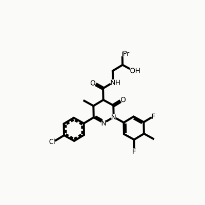 CC(C)C(O)CNC(=O)C1C(=O)N(C2=CC(F)C(C)C(F)=C2)N=C(c2ccc(Cl)cc2)C1C